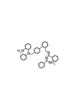 N/C(=N\C(=N/Cc1ccccc1-c1ccc(CN(c2ccccc2)c2ccccc2N)cc1)c1ccccc1)c1ccccc1